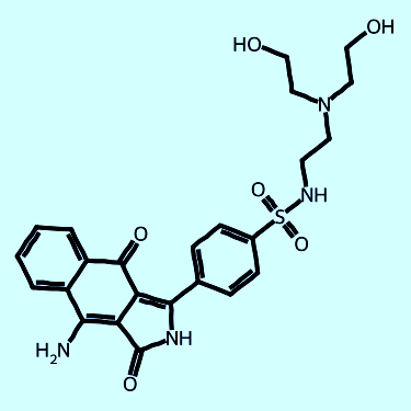 NC1=C2C(=O)NC(c3ccc(S(=O)(=O)NCCN(CCO)CCO)cc3)=C2C(=O)c2ccccc21